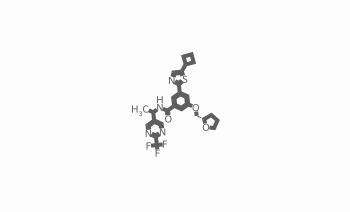 CC(NC(=O)c1cc(OC[C@@H]2CCCO2)cc(-c2ncc(C3CCC3)s2)c1)c1cnc(C(F)(F)F)nc1